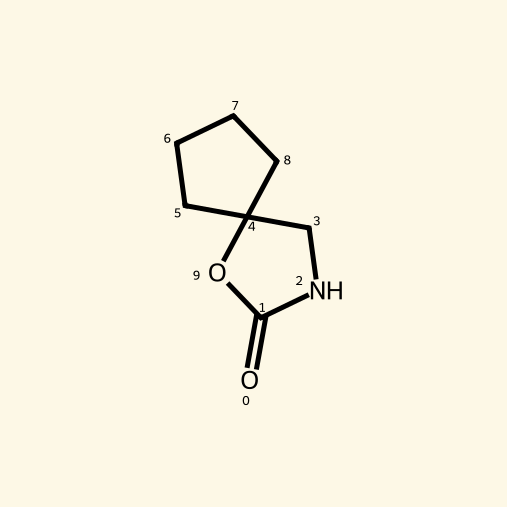 O=C1NCC2(CCCC2)O1